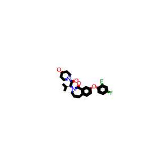 CC(C)[C@H](C(=O)N1CCC(=O)CC1)N1CC=Cc2ccc(Oc3ccc(F)cc3F)cc2C1=O